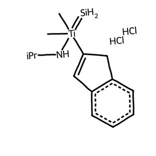 CC(C)[NH][Ti]([CH3])([CH3])(=[SiH2])[C]1=Cc2ccccc2C1.Cl.Cl